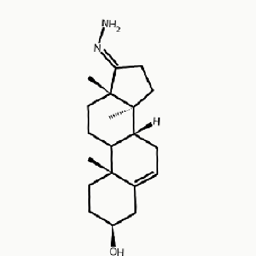 C[C@]12CC[C@H](O)CC1=CC[C@@H]1C2CC[C@]2(C)/C(=N/N)CC[C@@]12C